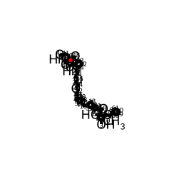 Cc1c(O)cc(O)c(C(=O)N2Cc3ccc(CN4CCN(CCOCCOCCNc5cccc6c5C(=O)N(C5CCC(=O)NC5=O)C6=O)CC4)cc3C2)c1OCc1ccccc1